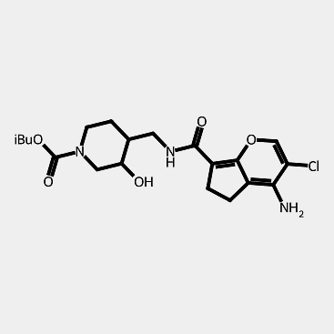 CC(C)COC(=O)N1CCC(CNC(=O)C2=C3OC=C(Cl)C(N)=C3CC2)C(O)C1